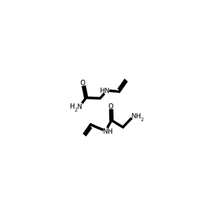 C=CNC(=O)CN.C=CNCC(N)=O